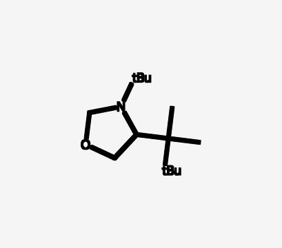 CC(C)(C)N1COCC1C(C)(C)C(C)(C)C